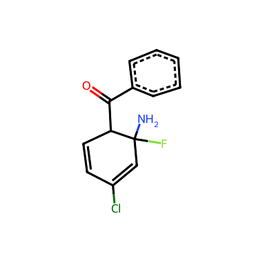 NC1(F)C=C(Cl)C=CC1C(=O)c1ccccc1